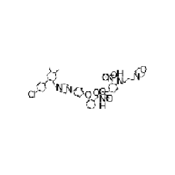 CC1CC(CN2CCN(c3ccc(Oc4ccccc4C(=O)NS(=O)(=O)c4ccc(NCCCN5CCOCC5)c([N+](=O)[O-])c4)cc3)CC2)=C(c2ccc(Cl)cc2)CC1C